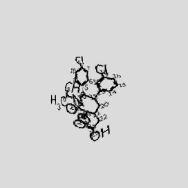 CC(C)N1[C@H](c2ccc(Cl)cc2)[C@@H](c2cccc(Cl)c2)C[C@@H](CC(=O)O)S1(=O)=O